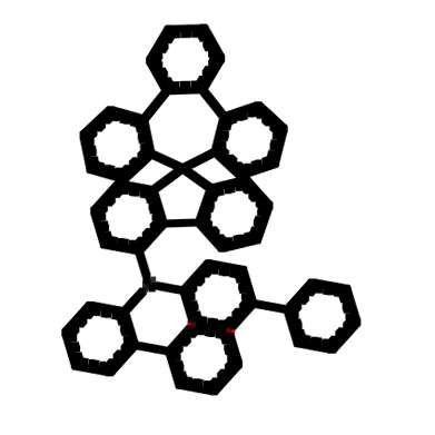 c1ccc(-c2ccc(N(c3ccccc3-c3ccccc3)c3cccc4c3-c3ccccc3C43c4ccccc4-c4ccccc4-c4ccccc43)cc2)cc1